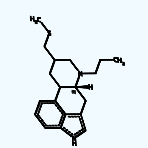 CCCN1CC(CSC)CC2c3cccc4[nH]cc(c34)C[C@H]21